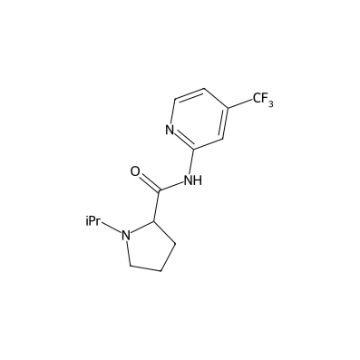 CC(C)N1CCCC1C(=O)Nc1cc(C(F)(F)F)ccn1